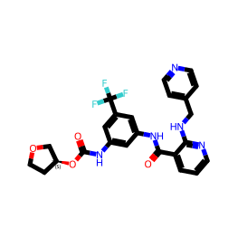 O=C(Nc1cc(NC(=O)c2cccnc2NCc2ccncc2)cc(C(F)(F)F)c1)O[C@H]1CCOC1